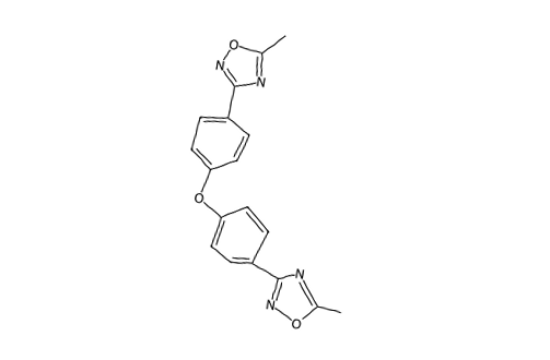 Cc1nc(-c2ccc(Oc3ccc(-c4noc(C)n4)cc3)cc2)no1